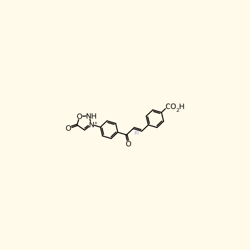 O=C(O)c1ccc(/C=C/C(=O)c2ccc(-[n+]3cc(=O)o[nH]3)cc2)cc1